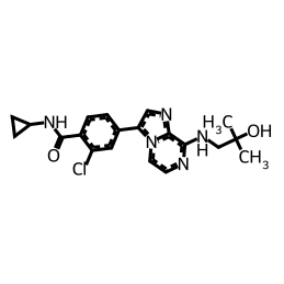 CC(C)(O)CNc1nccn2c(-c3ccc(C(=O)NC4CC4)c(Cl)c3)cnc12